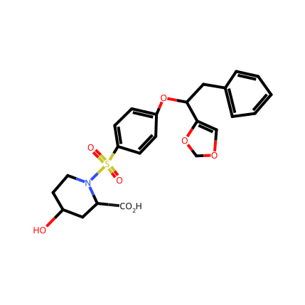 O=C(O)C1CC(O)CCN1S(=O)(=O)c1ccc(OC(Cc2ccccc2)C2=COCO2)cc1